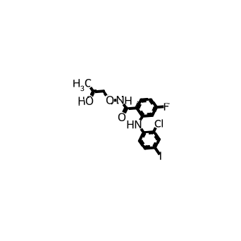 CC(O)CONC(=O)c1ccc(F)cc1Nc1ccc(I)cc1Cl